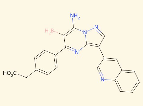 Bc1c(-c2ccc(CC(=O)O)cc2)nc2c(-c3cnc4ccccc4c3)cnn2c1N